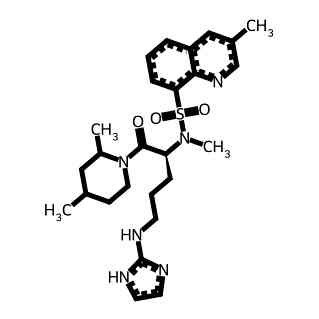 Cc1cnc2c(S(=O)(=O)N(C)[C@@H](CCCNc3ncc[nH]3)C(=O)N3CCC(C)CC3C)cccc2c1